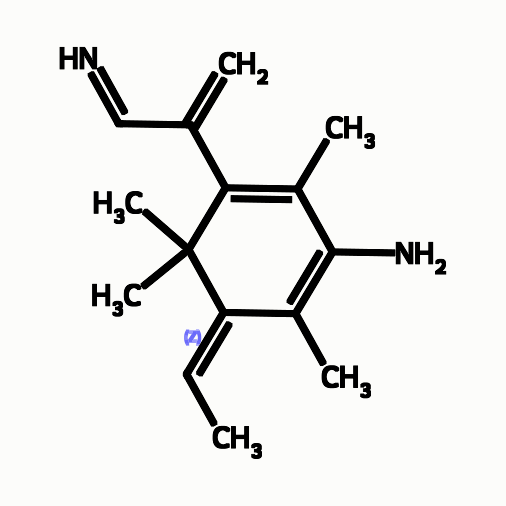 C=C(C=N)C1=C(C)C(N)=C(C)/C(=C\C)C1(C)C